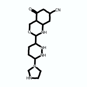 N#CC1CC(=O)C2COC(C3CCC(N4CCNC4)NN3)NC2C1